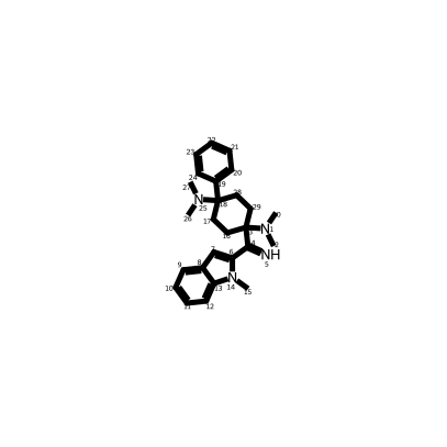 CN(C)C1(C(=N)c2cc3ccccc3n2C)CCC(c2ccccc2)(N(C)C)CC1